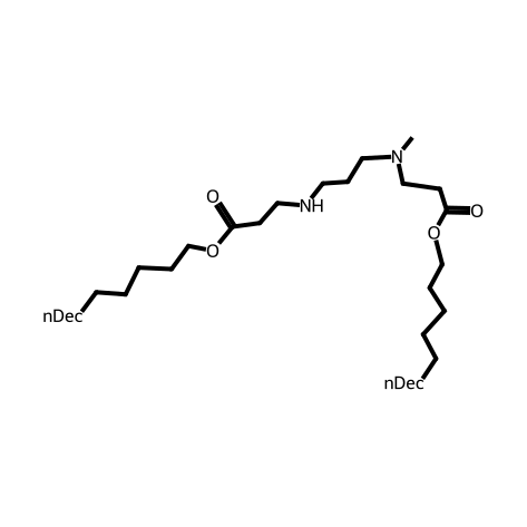 CCCCCCCCCCCCCCCOC(=O)CCNCCCN(C)CCC(=O)OCCCCCCCCCCCCCCC